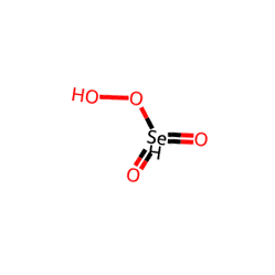 O=[SeH](=O)OO